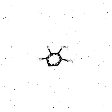 COc1c([N+](=O)[O-])ccc(Cl)c1F